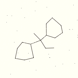 CCC(C)(C1CCCCC1)C1CCCCC1